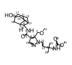 COCc1c(C(=O)N[C@H]2C3CC4CC2C[C@](O)(C4)C3)cnn1/C=C/C(C)(C)NC(=O)OC